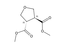 COC(=O)[C@@H]1COC[C@H]1C(=O)OC